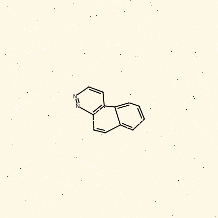 [c]1cc2c(ccc3ccccc32)nn1